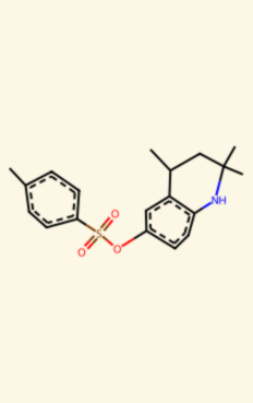 Cc1ccc(S(=O)(=O)Oc2ccc3c(c2)C(C)CC(C)(C)N3)cc1